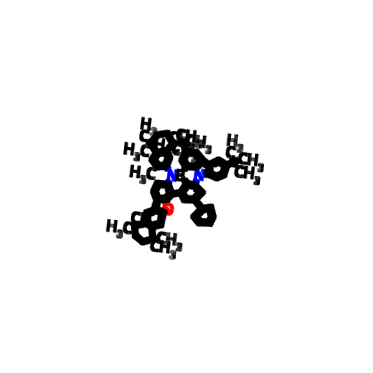 Cc1cc2c(cc1N1B3c4c(cc(-c5ccccc5)cc4-n4c5ccc(C(C)(C)C)cc5c5cc(C(C)(C)C)cc3c54)-c3c1ccc1c3oc3cc4c(cc31)C(C)(C)CCC4(C)C)C(C)(C)CCC2(C)C